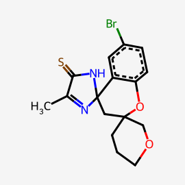 CC1=NC2(CC3(CCCOC3)Oc3ccc(Br)cc32)NC1=S